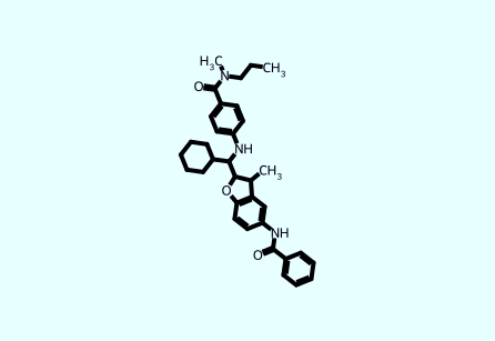 CCCN(C)C(=O)c1ccc(NC(C2CCCCC2)C2Oc3ccc(NC(=O)c4ccccc4)cc3C2C)cc1